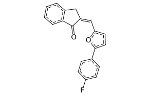 O=C1C(=Cc2ccc(-c3ccc(F)cc3)o2)Cc2ccccc21